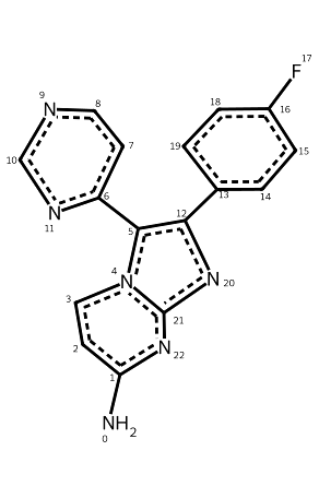 Nc1ccn2c(-c3ccncn3)c(-c3ccc(F)cc3)nc2n1